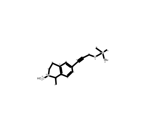 CC1c2ccc(C#CCO[Si](C)(C)C(C)(C)C)cc2CCN1C(=O)O